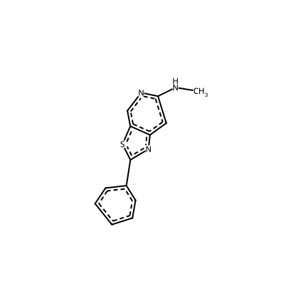 CNc1cc2nc(-c3ccccc3)sc2cn1